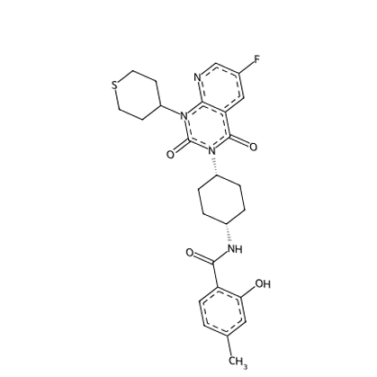 Cc1ccc(C(=O)N[C@H]2CC[C@@H](n3c(=O)c4cc(F)cnc4n(C4CCSCC4)c3=O)CC2)c(O)c1